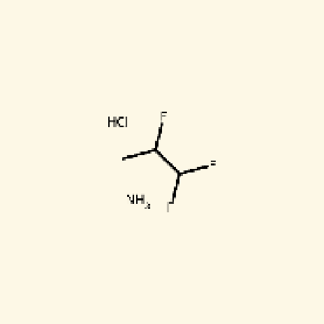 CC(F)C(F)F.Cl.N